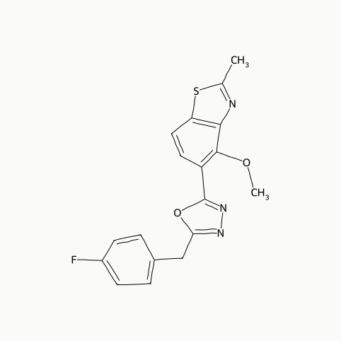 COc1c(-c2nnc(Cc3ccc(F)cc3)o2)ccc2sc(C)nc12